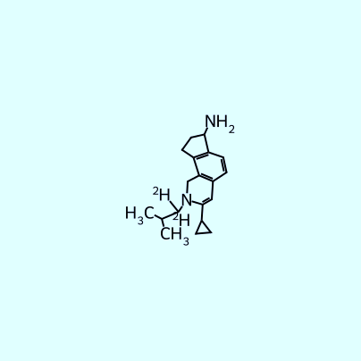 [2H]C([2H])(C(C)C)N1Cc2c(ccc3c2CCC3N)C=C1C1CC1